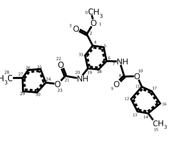 COC(=O)c1cc(NC(=O)Oc2ccc(C)cc2)cc(NC(=O)Oc2ccc(C)cc2)c1